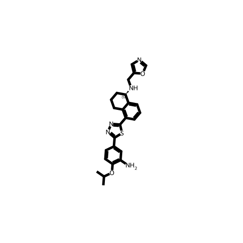 CC(C)Oc1ccc(-c2nnc(-c3cccc4c3CCC[C@@H]4NCc3cnco3)s2)cc1N